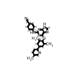 Cc1ccc(-c2cc(C)c(Oc3nc(Nc4ccc(C#N)cc4)nc4[nH]cnc34)c(C)c2)nc1